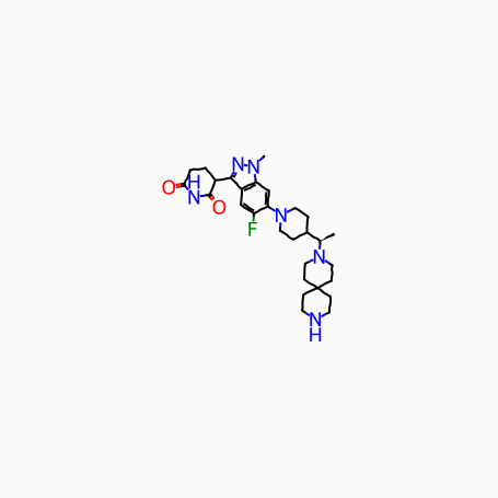 C[C@H](C1CCN(c2cc3c(cc2F)c(C2CCC(=O)NC2=O)nn3C)CC1)N1CCC2(CCNCC2)CC1